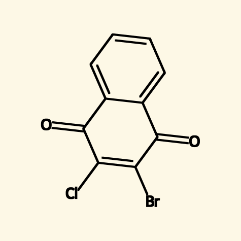 O=C1C(Cl)=C(Br)C(=O)c2ccccc21